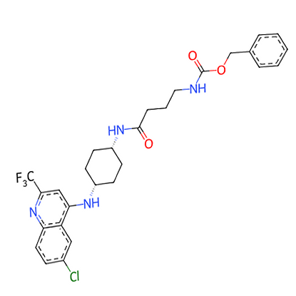 O=C(CCCNC(=O)OCc1ccccc1)N[C@H]1CC[C@@H](Nc2cc(C(F)(F)F)nc3ccc(Cl)cc23)CC1